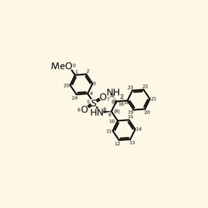 COc1ccc(S(=O)(=O)N[C@H](c2ccccc2)[C@H](N)c2ccccc2)cc1